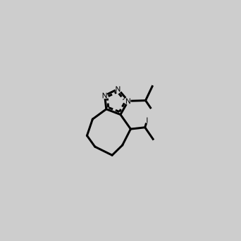 CC(I)C1CCCCCc2nnn(C(C)C)c21